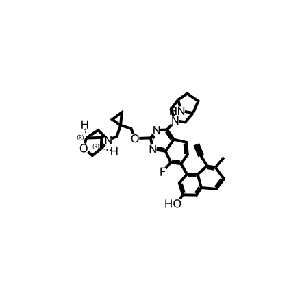 C#Cc1c(C)ccc2cc(O)cc(-c3ccc4c(N5CC6CCC(C5)N6)nc(OCC5(CN6C[C@H]7C[C@@H]6CO7)CC5)nc4c3F)c12